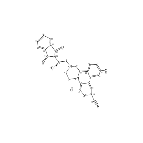 C[C@H](CN1CCN(c2ccc(C#N)cc2Cl)[C@H](c2ccc(Cl)cc2)C1)N1C(=O)c2ccccc2C1=O